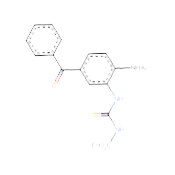 CCOC(=O)NC(=S)Nc1cc(C(=O)c2ccccc2)ccc1NC(C)=O